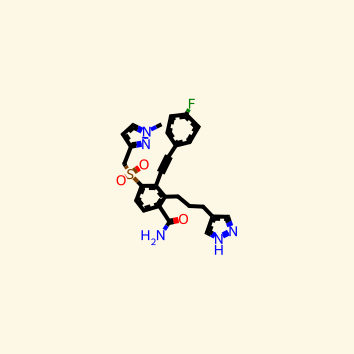 Cn1ccc(CS(=O)(=O)c2ccc(C(N)=O)c(CCCc3cn[nH]c3)c2C#Cc2ccc(F)cc2)n1